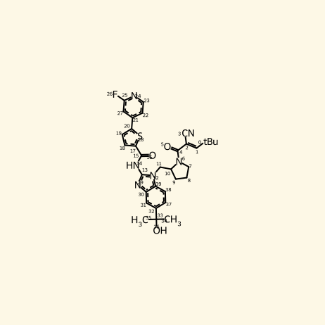 CC(C)(C)C=C(C#N)C(=O)N1CCCC1Cn1c(NC(=O)c2ccc(-c3ccnc(F)c3)s2)nc2cc(C(C)(C)O)ccc21